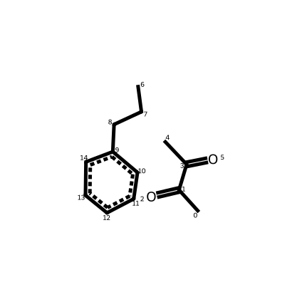 CC(=O)C(C)=O.CCCc1ccccc1